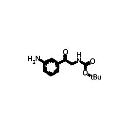 CC(C)(C)OC(=O)NCC(=O)c1cccc(N)c1